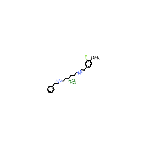 COc1ccc(CCNCCCCCCNCCc2ccccc2)cc1F.Cl.Cl